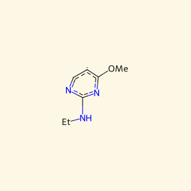 CCNc1nc[c]c(OC)n1